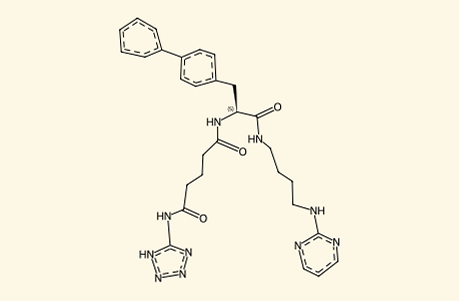 O=C(CCCC(=O)N[C@@H](Cc1ccc(-c2ccccc2)cc1)C(=O)NCCCCNc1ncccn1)Nc1nnn[nH]1